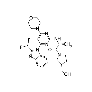 C[C@H](Nc1nc(N2CCOCC2)cc(-n2c(C(F)F)nc3ccccc32)n1)C(=O)N1CCC(CO)C1